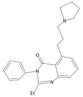 CCc1nc2cccc(CCCN3CCCC3)c2c(=O)n1-c1ccccc1